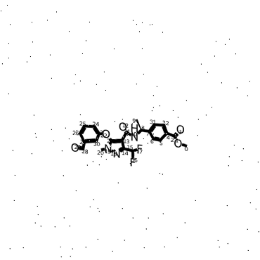 COC(=O)c1ccc([C@H](C)NC(=O)c2c(C(F)F)nn(C)c2Oc2cccc(C=O)c2)cc1